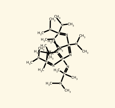 CN(C)P(C)(C)=NP(=NC(C)(C)C)(N=P(C)(C)N(C)C)N=P(N=P(N(C)C)(N(C)C)N(C)C)(N(C)C)N(C)C